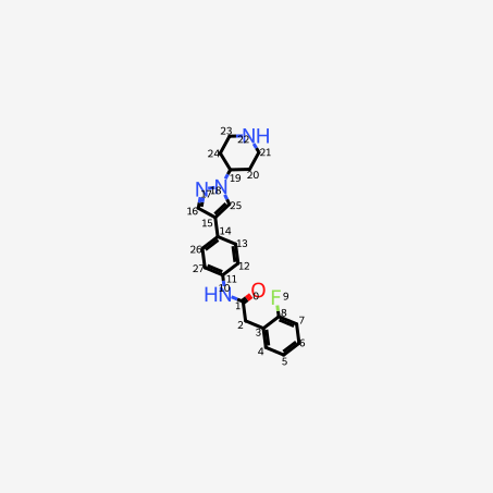 O=C(Cc1ccccc1F)Nc1ccc(-c2cnn(C3CCNCC3)c2)cc1